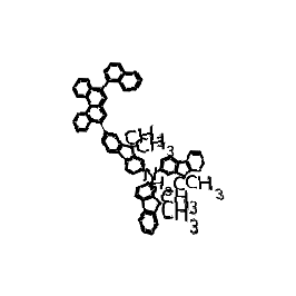 CC1(C)C2=C(C=CCC2)c2ccc(N(c3ccc4c(c3)C(C)(C)c3ccccc3-4)c3ccc4c(c3)C(C)(C)c3cc(-c5cc6cc(-c7cccc8ccccc78)c7ccccc7c6c6ccccc56)ccc3-4)cc21